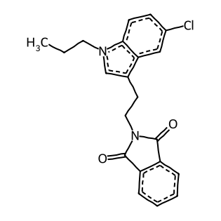 CCCn1cc(CCN2C(=O)c3ccccc3C2=O)c2cc(Cl)ccc21